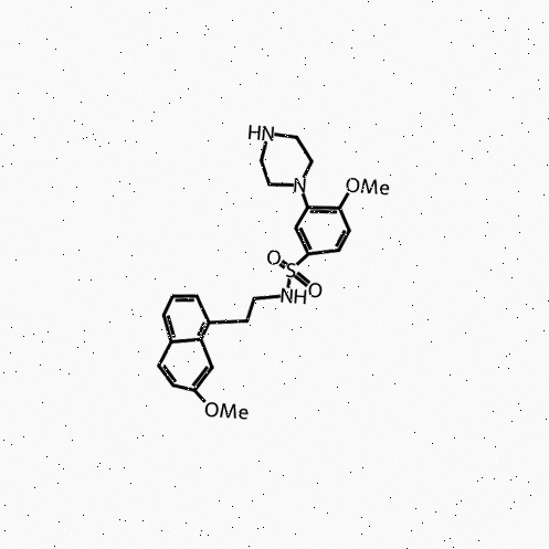 COc1ccc2cccc(CCNS(=O)(=O)c3ccc(OC)c(N4CCNCC4)c3)c2c1